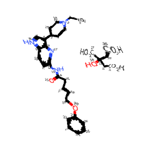 CC(C)(C)CN1C=CC(c2c[nH]c3ccc(NC(=O)CCCCOc4ccccc4)nc23)CC1.O=C(O)CC(O)(CC(=O)O)C(=O)O